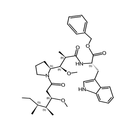 CC[C@H](C)[C@H](C)[C@@H](CC(=O)N1CCC[C@H]1[C@H](OC)[C@@H](C)C(=O)N[C@@H](Cc1c[nH]c2ccccc12)C(=O)OCc1ccccc1)OC